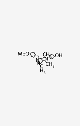 COc1ccc(Cc2nnc(C)c3c(C)n(-c4ccc(O)cc4)c(C)c23)cc1